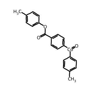 Cc1ccc(OC(=O)c2cc[c]([Co](=[O])[c]3ccc(C)cc3)cc2)cc1